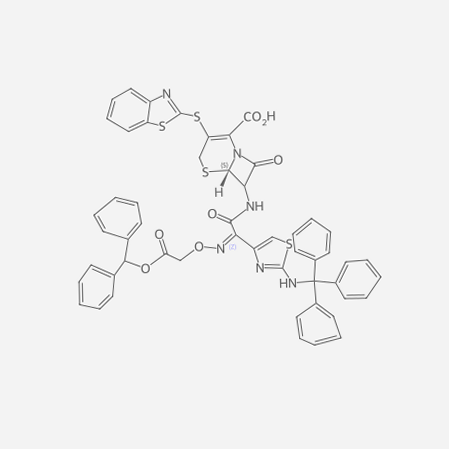 O=C(CO/N=C(\C(=O)NC1C(=O)N2C(C(=O)O)=C(Sc3nc4ccccc4s3)CS[C@@H]12)c1csc(NC(c2ccccc2)(c2ccccc2)c2ccccc2)n1)OC(c1ccccc1)c1ccccc1